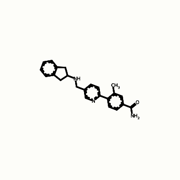 Cc1cc(C(N)=O)ccc1-c1ccc(CNC2Cc3ccccc3C2)cn1